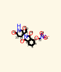 C=C[C@@]1(N2C(=O)c3cccc(OC[N+](=O)[O-])c3C2=O)CCC(=O)NC1=O